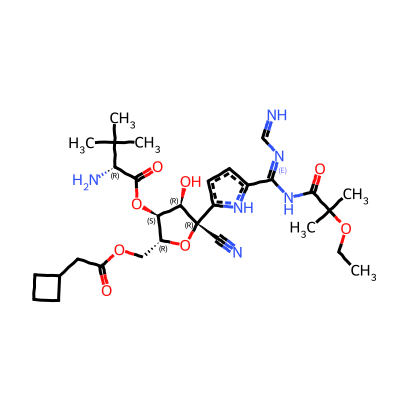 CCOC(C)(C)C(=O)N/C(=N/C=N)c1ccc([C@]2(C#N)O[C@H](COC(=O)CC3CCC3)[C@@H](OC(=O)[C@H](N)C(C)(C)C)[C@H]2O)[nH]1